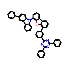 c1ccc(-c2ccc3c(c2)c2ccccc2n3-c2cccc3c2oc2c(-c4cccc(-c5nc(-c6ccccc6)nc(-c6ccccc6)n5)c4)cccc23)cc1